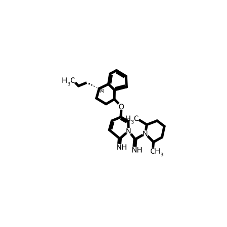 CCC[C@H]1CCC(Oc2ccc(=N)n(C(=N)N3C(C)CCCC3C)c2)c2ccccc21